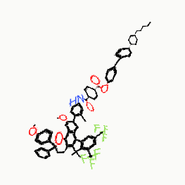 CCCCC[C@H]1CC[C@H](c2ccc(-c3ccc(OC(=O)[C@H]4CC[C@H](C(=O)Nc5ccc(-c6cc7c8c(c9c(c7cc6OC)OC(c6ccccc6)(c6ccc(OC)cc6)C=C9)C(C)(C)c6c-8cc(C(F)(F)F)cc6C(F)(F)F)c(C)c5)CC4)cc3)cc2)CC1